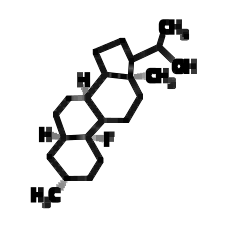 CC(O)C1CCC2[C@@H]3CC[C@@H]4C[C@@H](C)CC[C@]4(F)C3CC[C@]12C